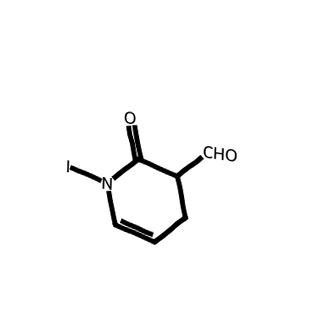 O=CC1CC=CN(I)C1=O